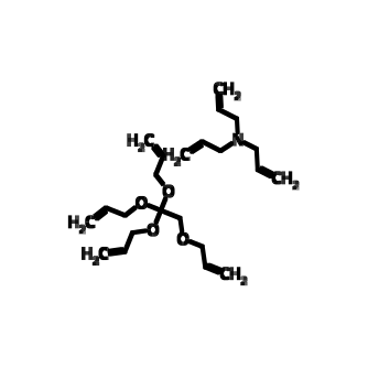 C=CCN(CC=C)CC=C.C=CCOCC(OCC=C)(OCC=C)OCC=C